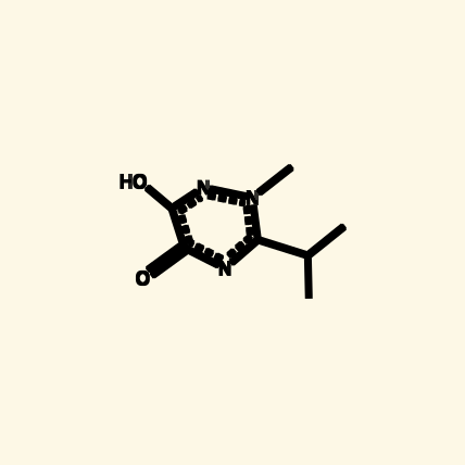 CC(C)c1nc(=O)c(O)nn1C